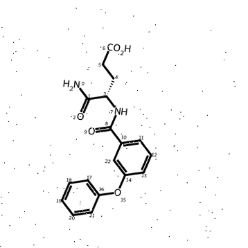 NC(=O)[C@H](CCC(=O)O)NC(=O)c1cccc(Oc2ccccc2)c1